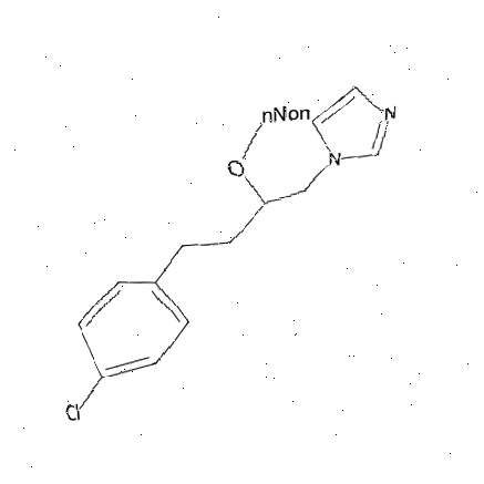 CCCCCCCCCOC(CCc1ccc(Cl)cc1)Cn1ccnc1